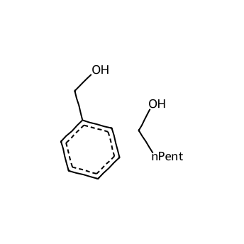 CCCCCCO.OCc1ccccc1